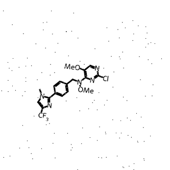 COc1cnc(Cl)nc1N(Cc1ccc(-c2nc(C(F)(F)F)cn2C)cc1)OC